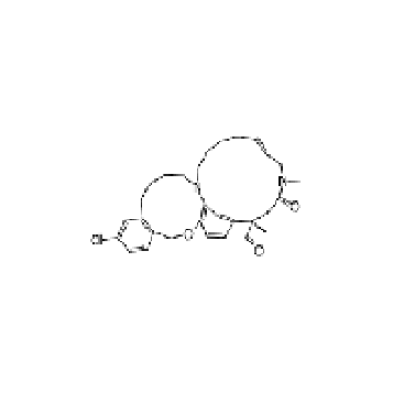 CN1C/C=C/CCCCN2CCCCc3cc(Cl)ccc3COc3ccc(cc32)[C@@](C)(C=O)CC1=O